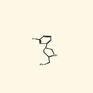 CCc1cccc(C2CNC(CC(C)C)C2)c1